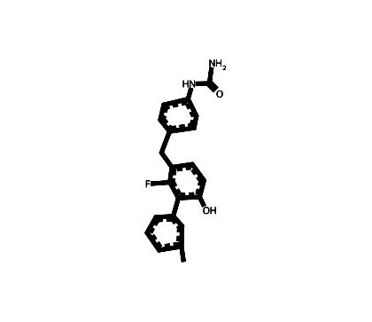 Cc1cccc(-c2c(O)ccc(Cc3ccc(NC(N)=O)cc3)c2F)c1